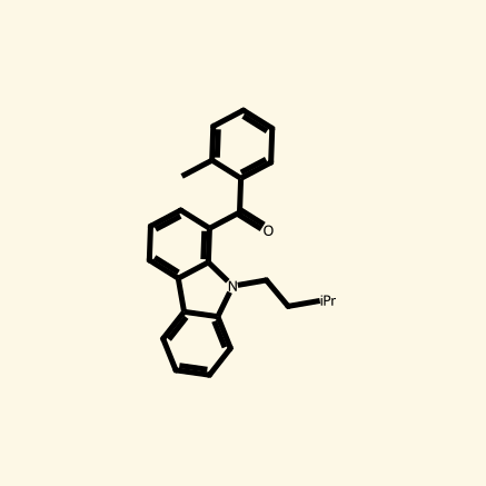 Cc1ccccc1C(=O)c1cccc2c3ccccc3n(CCC(C)C)c12